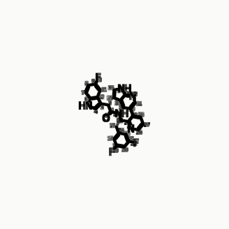 O=C(Cc1c[nH]c2ccc(F)cc12)N[C@@H](Cc1cc(F)cc(F)c1)c1ncccc1-c1cnc2[nH]ccc2c1